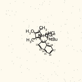 C[O][Ti]([c]1c(C2=C(C)C(C)=C(C)C2)ccc2ccccc12)[C](C)(C)C.Cl.Cl